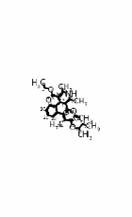 CCOC(=O)C1=C(C)NC(C)=C(C(=O)OCC)C1c1ccccc1/C=C(\C)C(=O)OC(C)CC